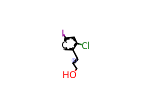 OC/C=C/c1ccc(I)cc1Cl